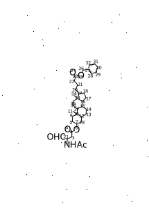 CC(=O)NC(C=O)CC(=O)OC1CCC2(C)C(CCC3C4CCC(CCCC(=O)OCc5ccccc5)C4(C)CCC32)C1